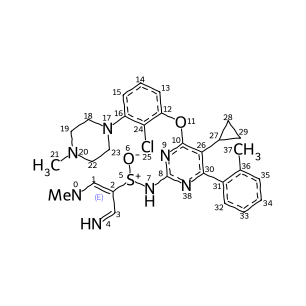 CN/C=C(\C=N)[S+]([O-])Nc1nc(Oc2cccc(N3CCN(C)CC3)c2Cl)c(C2CC2)c(-c2ccccc2C)n1